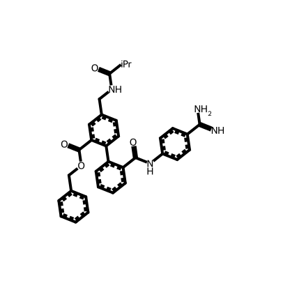 CC(C)C(=O)NCc1ccc(-c2ccccc2C(=O)Nc2ccc(C(=N)N)cc2)c(C(=O)OCc2ccccc2)c1